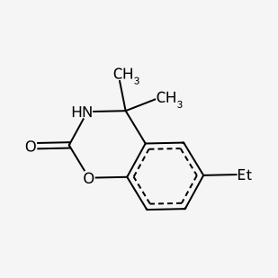 CCc1ccc2c(c1)C(C)(C)NC(=O)O2